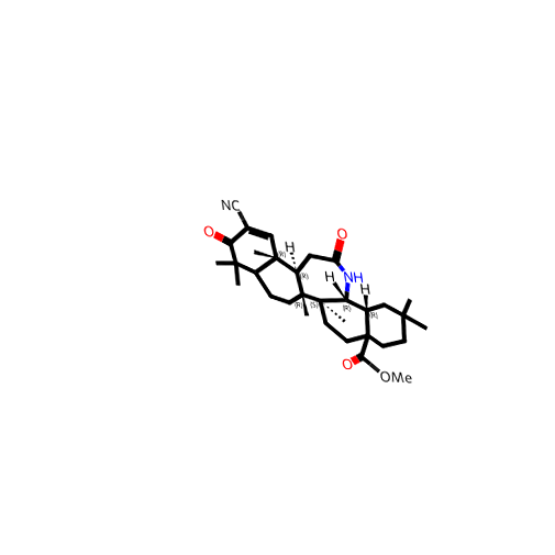 COC(=O)C12CCC(C)(C)C[C@H]1[C@H]1NC(=O)C[C@@H]3[C@@]4(C)C=C(C#N)C(=O)C(C)(C)C4CC[C@@]3(C)[C@]1(C)CC2